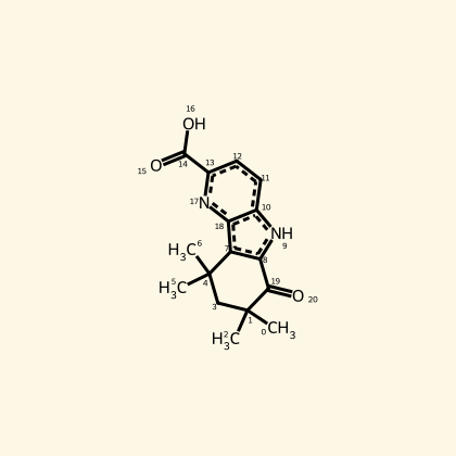 CC1(C)CC(C)(C)c2c([nH]c3ccc(C(=O)O)nc23)C1=O